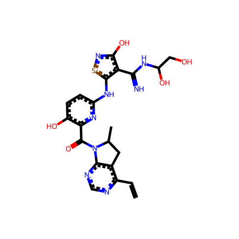 C=Cc1ncnc2c1CC(C)N2C(=O)c1nc(Nc2snc(O)c2C(=N)NC(O)CO)ccc1O